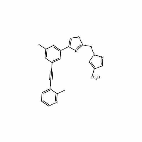 CCOC(=O)c1cnn(Cc2nc(-c3cc(C)cc(C#Cc4cccnc4C)c3)cs2)c1